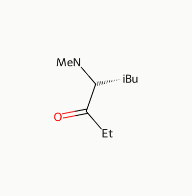 CCC(=O)C(NC)[C@@H](C)CC